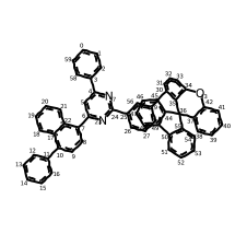 c1ccc(-c2cc(-c3ccc(-c4ccccc4)c4ccccc34)nc(-c3cccc(-c4cccc5c4C4(c6ccccc6O5)c5ccccc5-c5ccccc54)c3)n2)cc1